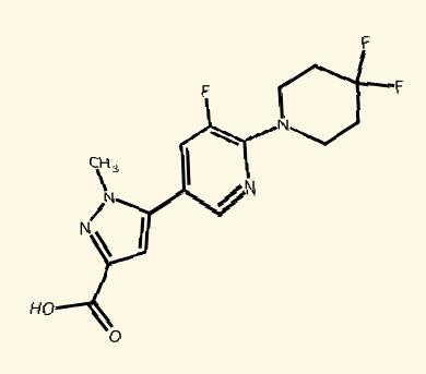 Cn1nc(C(=O)O)cc1-c1cnc(N2CCC(F)(F)CC2)c(F)c1